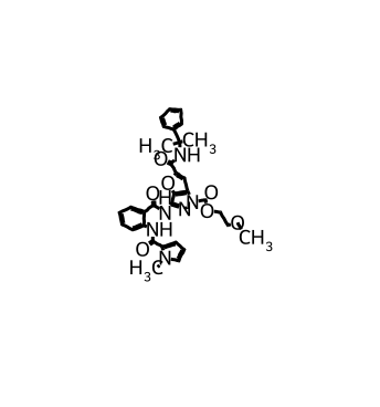 COCCOC(=O)n1nc(NC(=O)c2ccccc2NC(=O)c2cccn2C)c2oc(C(=O)NC(C)(C)c3ccccc3)cc21